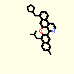 Cc1ccc2c(CC(C)C)c3c(cc2c1)-c1nccc2c1c(cc1c(CC4CCCC4)cccc12)O3